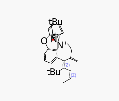 C=C1CC[N+]23c4c(cccc4/C1=C(/C=C\C)C(C)(C)C)Oc1cccc(c12)-c1c(C(C)(C)C)ccc[n+]13